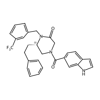 O=C(c1ccc2cc[nH]c2c1)N1CC(=O)N(Cc2cccc(C(F)(F)F)c2)[C@@H](CCc2ccccc2)C1